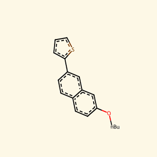 CCCCOc1ccc2ccc(-c3cccs3)cc2c1